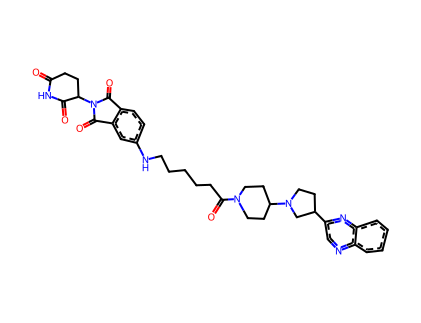 O=C1CCC(N2C(=O)c3ccc(NCCCCCC(=O)N4CCC(N5CCC(c6cnc7ccccc7n6)C5)CC4)cc3C2=O)C(=O)N1